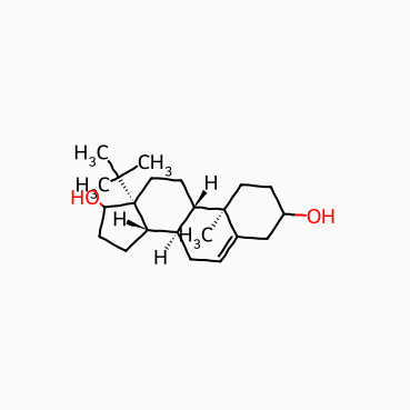 CC(C)(C)[C@]12CC[C@H]3[C@@H](CC=C4CC(O)CC[C@@]43C)[C@@H]1CCC2O